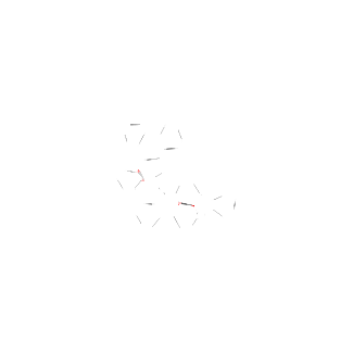 c1ccc(-c2ccc(N(c3ccc4c(c3)oc3ccccc34)c3c(-c4ccccc4)cccc3-c3ccccc3)cc2-c2ccccc2)cc1